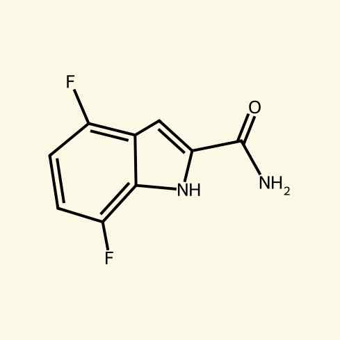 NC(=O)c1cc2c(F)ccc(F)c2[nH]1